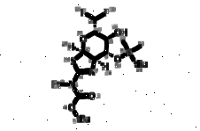 CCN(C(=O)OC(C)(C)C)C1=N[C@@H]2[C@@H](O[Si](C)(C)C(C)(C)C)[C@H](O)[C@@H](C(F)F)O[C@@H]2S1